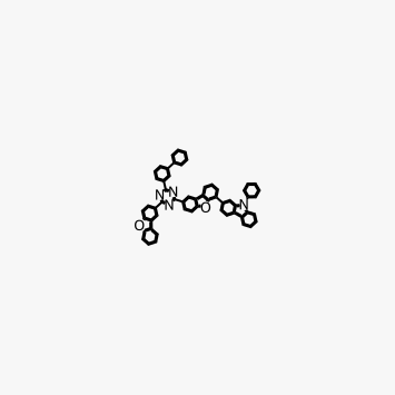 c1ccc(-c2cccc(-c3nc(-c4ccc5oc6ccccc6c5c4)nc(-c4ccc5oc6c(-c7ccc8c9ccccc9n(-c9ccccc9)c8c7)cccc6c5c4)n3)c2)cc1